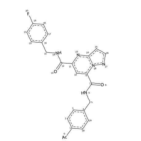 CC(=O)c1ccc(CNC(=O)c2cc(C(=O)NCc3ccc(F)cc3)nc3ccnn23)cc1